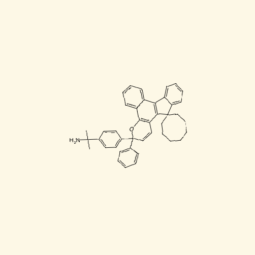 CC(C)(N)c1ccc(C2(c3ccccc3)C=Cc3c4c(c5ccccc5c3O2)-c2ccccc2C42CCCCCCC2)cc1